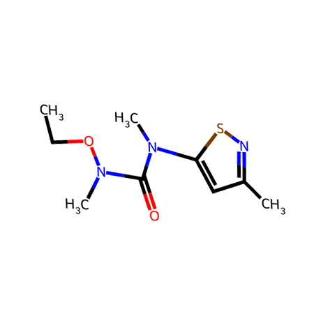 CCON(C)C(=O)N(C)c1cc(C)ns1